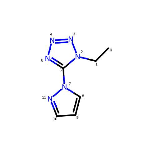 CCn1nnnc1-n1cccn1